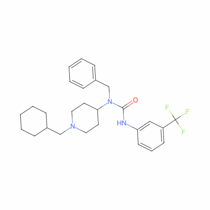 O=C(Nc1cccc(C(F)(F)F)c1)N(Cc1ccccc1)C1CCN(CC2CCCCC2)CC1